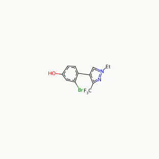 CCn1cc(-c2ccc(O)cc2Br)c(C(F)(F)F)n1